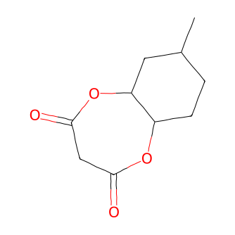 CC1CCC2OC(=O)CC(=O)OC2C1